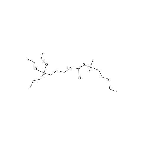 CCCCCC(C)(C)OC(=O)NCCC[Si](OCC)(OCC)OCC